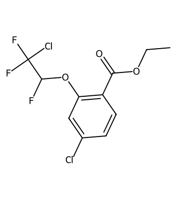 CCOC(=O)c1ccc(Cl)cc1OC(F)C(F)(F)Cl